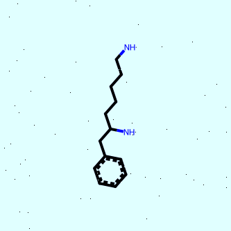 [NH]CCCCCC([NH])Cc1ccccc1